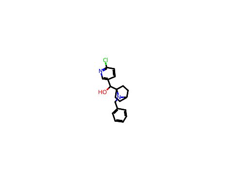 OC(c1ccc(Cl)nc1)C12CCC(CC1)N2Cc1ccccc1